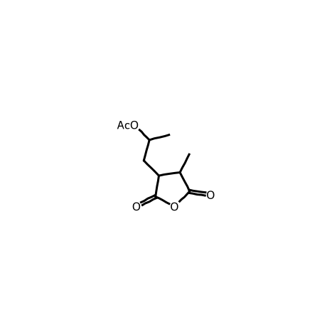 CC(=O)OC(C)CC1C(=O)OC(=O)C1C